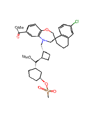 COC(=O)c1ccc2c(c1)N(C[C@@H]1CC[C@H]1C(OC)[C@H]1CCC[C@H](OS(C)(=O)=O)C1)CC1(CCCc3cc(Cl)ccc31)CO2